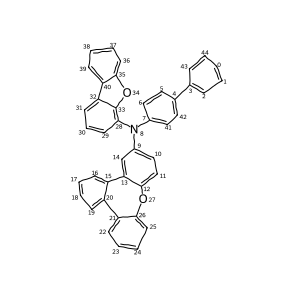 c1ccc(-c2ccc(N(c3ccc4c(c3)-c3ccccc3-c3ccccc3O4)c3cccc4c3oc3ccccc34)cc2)cc1